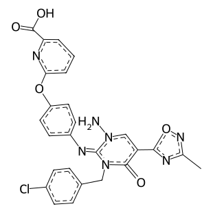 Cc1noc(-c2cn(N)/c(=N\c3ccc(Oc4cccc(C(=O)O)n4)cc3)n(Cc3ccc(Cl)cc3)c2=O)n1